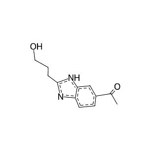 CC(=O)c1ccc2nc(CCCO)[nH]c2c1